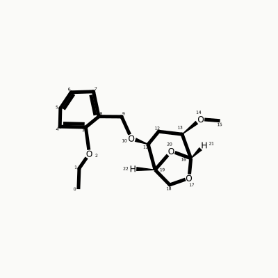 CCOc1ccccc1CO[C@H]1C[C@@H](OC)[C@@H]2OC[C@H]1O2